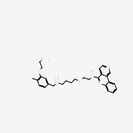 OCCOc1cc(CNCCCCOCCNc2nc3ccccc3c3cnccc23)ccc1Cl